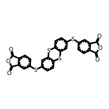 O=C1OC(=O)c2cc(Sc3ccc4c(c3)Sc3ccc(Sc5ccc6c(c5)C(=O)OC6=O)cc3S4)ccc21